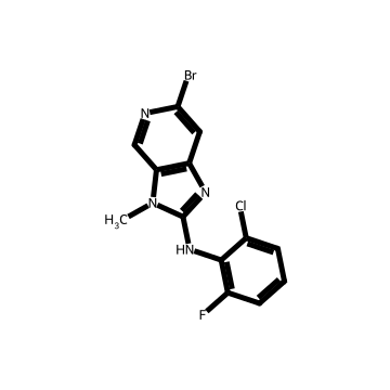 Cn1c(Nc2c(F)cccc2Cl)nc2cc(Br)ncc21